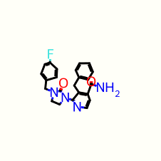 NC(=O)c1ccnc(N2CCN(Cc3ccc(F)cc3)C2=O)c1Cc1ccccc1